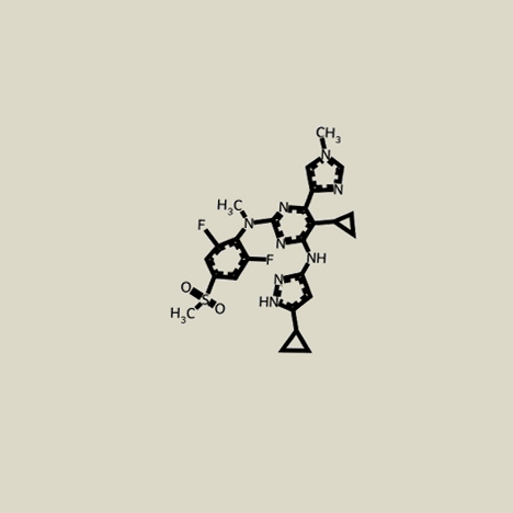 CN(c1nc(Nc2cc(C3CC3)[nH]n2)c(C2CC2)c(-c2cn(C)cn2)n1)c1c(F)cc(S(C)(=O)=O)cc1F